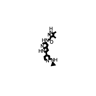 Cc1[nH]nc(C(=O)Nc2cnc3[nH]c(-c4ccnc(NC5CC5)c4)cc3c2)c1C